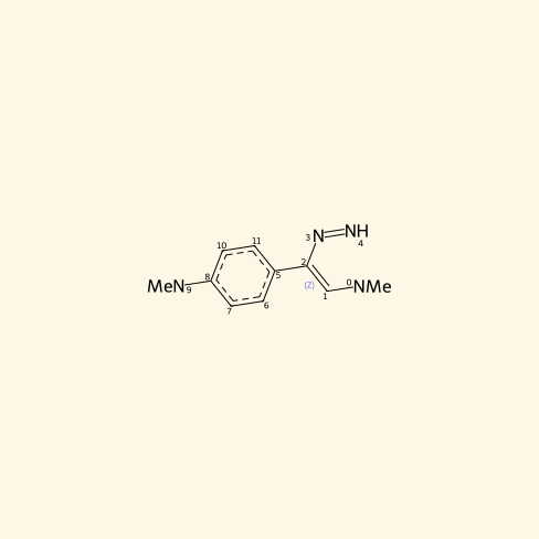 CN/C=C(\N=N)c1ccc(NC)cc1